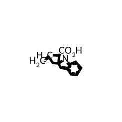 C=CCC1(C(C)C(=O)O)C=c2ccccc2=N1